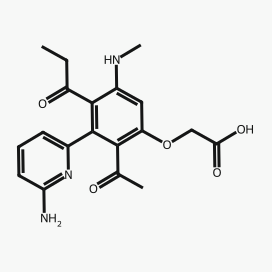 CCC(=O)c1c(NC)cc(OCC(=O)O)c(C(C)=O)c1-c1cccc(N)n1